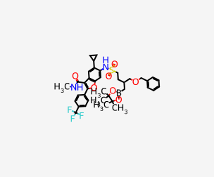 CNC(=O)c1c(-c2ccc(C(F)(F)F)cc2)oc2cc(NS(=O)(=O)CCC(COCc3ccccc3)CB3OC(C)(C)C(C)(C)O3)c(C3CC3)cc12